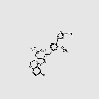 COc1cc(/C=C/C2=NO[C@]3(CCOc4ccc(F)cc43)C2C[C@H](C)O)ccc1-n1cnc(C)c1